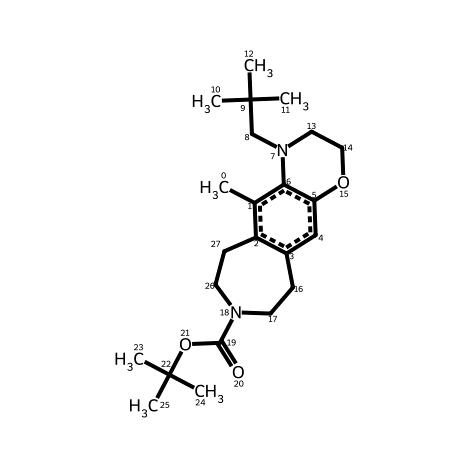 Cc1c2c(cc3c1N(CC(C)(C)C)CCO3)CCN(C(=O)OC(C)(C)C)CC2